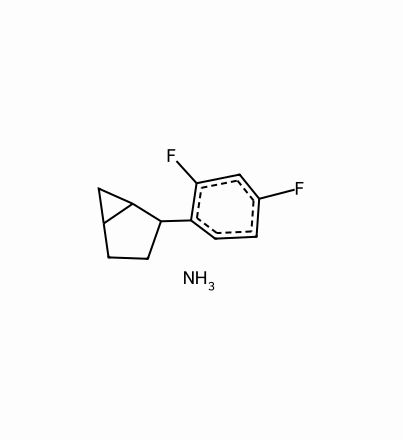 Fc1ccc(C2CCC3CC32)c(F)c1.N